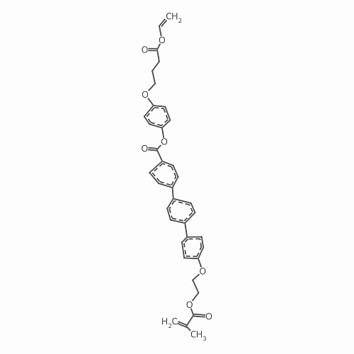 C=COC(=O)CCCOc1ccc(OC(=O)c2ccc(-c3ccc(-c4ccc(OCCOC(=O)C(=C)C)cc4)cc3)cc2)cc1